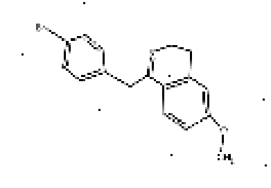 COc1ccc2c(c1)CCN=C2Cc1ccc(Br)cc1